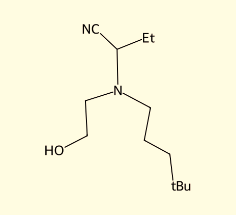 CCC(C#N)N(CCO)CCCC(C)(C)C